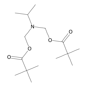 CC(C)N(COC(=O)C(C)(C)C)COC(=O)C(C)(C)C